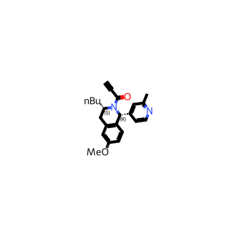 C#CC(=O)N1[C@@H](CCCC)Cc2cc(OC)ccc2[C@H]1c1ccnc(C)c1